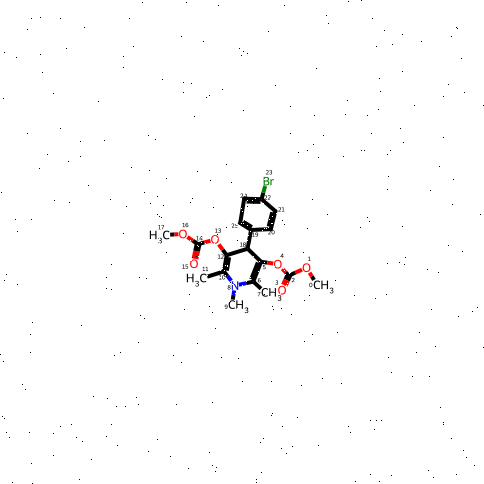 COC(=O)OC1=C(C)N(C)C(C)=C(OC(=O)OC)C1c1ccc(Br)cc1